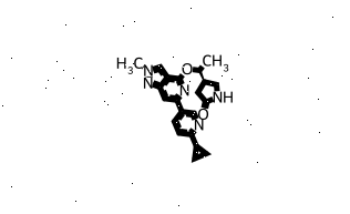 CC(Oc1nc(-c2ccc(C3CC3)nc2)cc2nn(C)cc12)[C@H]1CNC(=O)C1